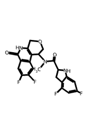 CN(C(=O)C1Cc2c(F)cc(F)cc2N1)C1COCc2[nH]c(=O)c3cc(F)c(F)cc3c21